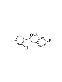 O=C(Cc1ccc(F)cc1Cl)c1ccc(F)cc1Cl